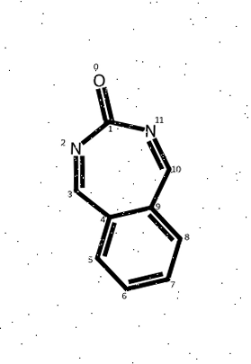 O=c1ncc2ccccc2cn1